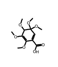 COC1=C(OC)C(OC)C(OC)(OC)C=C1C(=O)O